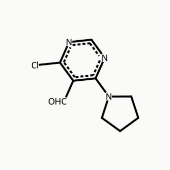 O=Cc1c(Cl)ncnc1N1CCCC1